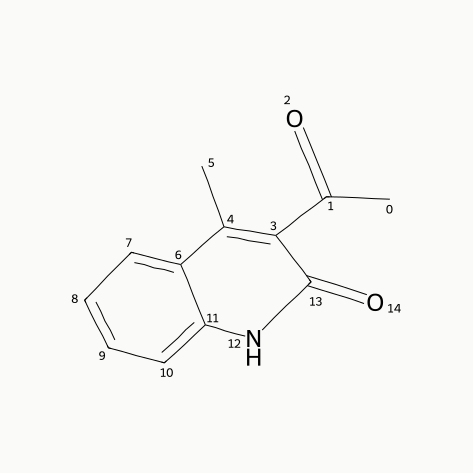 CC(=O)c1c(C)c2ccccc2[nH]c1=O